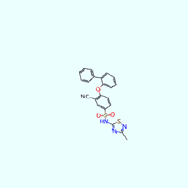 Cc1nsc(NS(=O)(=O)c2ccc(Oc3ccccc3-c3ccccc3)c(C#N)c2)n1